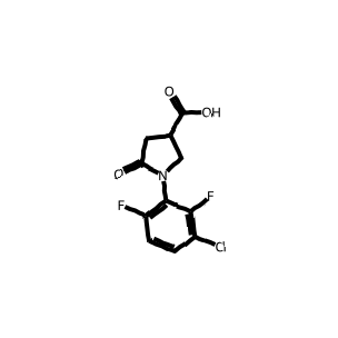 O=C(O)C1CC(=O)N(c2c(F)ccc(Cl)c2F)C1